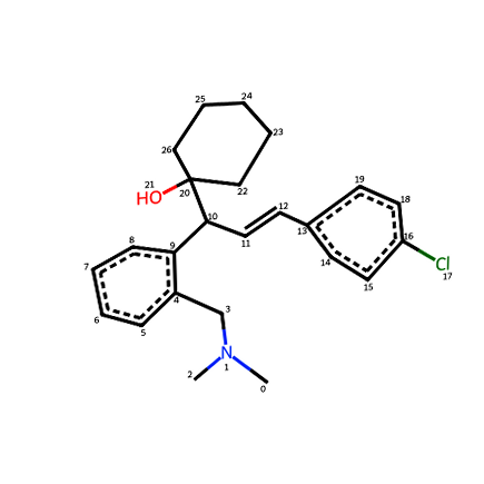 CN(C)Cc1ccccc1C(C=Cc1ccc(Cl)cc1)C1(O)CCCCC1